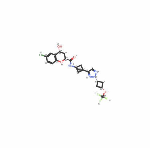 O=C(NC12CC(c3cnn([C@H]4C[C@@H](OC(F)(F)F)C4)n3)(C1)C2)[C@@H]1C[C@@H](O)c2cc(Cl)ccc2O1